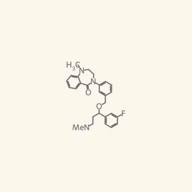 CNCCC(OCc1cccc(N2CCN(C)c3ccccc3C2=O)c1)c1cccc(F)c1